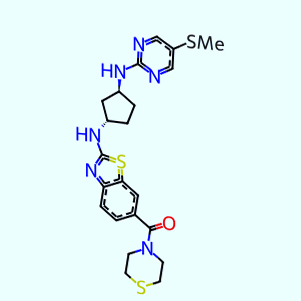 CSc1cnc(N[C@H]2CC[C@H](Nc3nc4ccc(C(=O)N5CCSCC5)cc4s3)C2)nc1